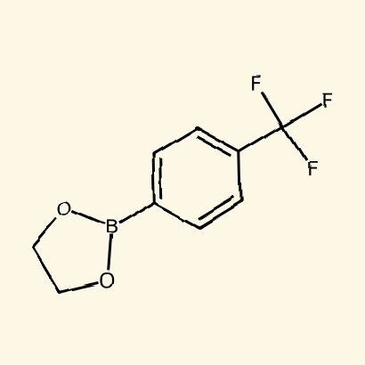 FC(F)(F)c1ccc(B2OCCO2)cc1